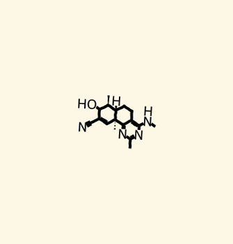 CNc1nc(C)nc2c1CC[C@H]1[C@H](C)C(O)C(C#N)=C[C@]21C